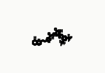 O=C(NCC(NS(=O)(=O)Cc1cc(C(F)(F)F)cc(C(F)(F)F)c1)C(=O)O)c1cnn(CCc2ccc3c(n2)NCCC3)c1